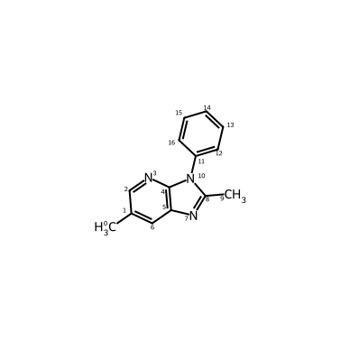 Cc1cnc2c(c1)nc(C)n2-c1ccccc1